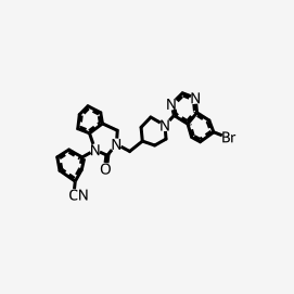 N#Cc1cccc(N2C(=O)N(CC3CCN(c4ncnc5cc(Br)ccc45)CC3)Cc3ccccc32)c1